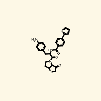 Nc1ccc(CC(NC(=O)c2ccc(-c3cccs3)cc2)C(=O)N2CCC3OCC(=O)C32)cc1